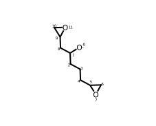 [O]C(CCCC1CO1)CC1CO1